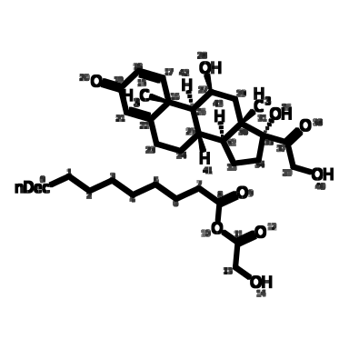 CCCCCCCCCCCCCCCCCC(=O)OC(=O)CO.C[C@]12C=CC(=O)C=C1CC[C@@H]1[C@@H]2[C@@H](O)C[C@@]2(C)[C@H]1CC[C@]2(O)C(=O)CO